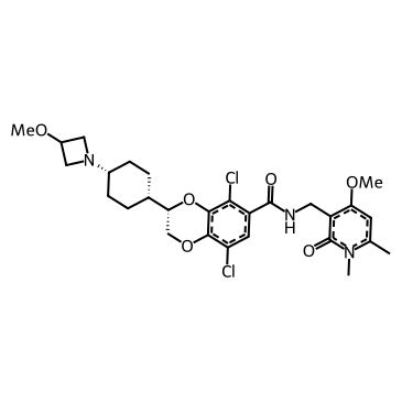 COc1cc(C)n(C)c(=O)c1CNC(=O)c1cc(Cl)c2c(c1Cl)O[C@@H]([C@H]1CC[C@@H](N3CC(OC)C3)CC1)CO2